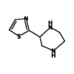 c1csc(C2CNCCN2)n1